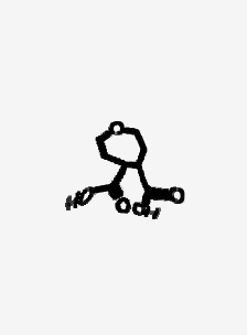 O=C(O)C1CCOCCC1C(=O)O